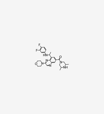 CC1CN(C(=O)c2cc(C(C)Nc3ccc(F)c(F)c3)c3nc(N4CCOCC4)cnc3c2)CC(C)N1